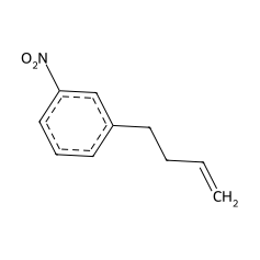 C=CCCc1cccc([N+](=O)[O-])c1